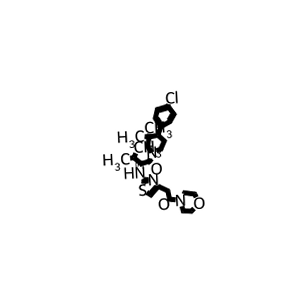 CC(C)[C@@H](Nc1nc(CC(=O)N2CCOCC2)cs1)C(=O)N1CCC(c2ccc(Cl)cc2)C(C)(C)C1